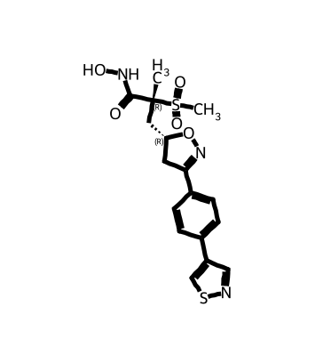 C[C@@](C[C@H]1CC(c2ccc(-c3cnsc3)cc2)=NO1)(C(=O)NO)S(C)(=O)=O